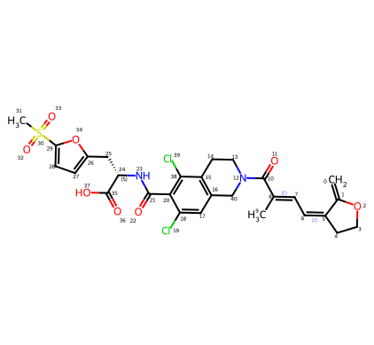 C=C1OCC/C1=C/C=C(\C)C(=O)N1CCc2c(cc(Cl)c(C(=O)N[C@@H](Cc3ccc(S(C)(=O)=O)o3)C(=O)O)c2Cl)C1